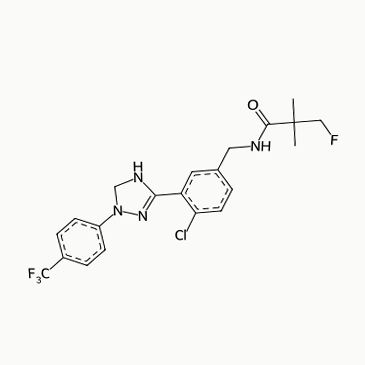 CC(C)(CF)C(=O)NCc1ccc(Cl)c(C2=NN(c3ccc(C(F)(F)F)cc3)CN2)c1